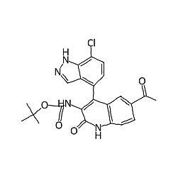 CC(=O)c1ccc2[nH]c(=O)c(NC(=O)OC(C)(C)C)c(-c3ccc(Cl)c4[nH]ncc34)c2c1